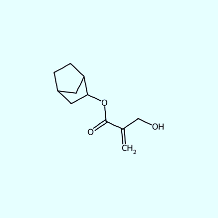 C=C(CO)C(=O)OC1CC2CCC1C2